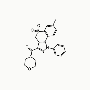 Cc1ccc2c(c1)S(=O)(=O)Cc1c(C(=O)N3CCOCC3)nn(-c3ccccc3)c1-2